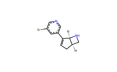 Brc1cncc(C2=CC[C@@H]3CN[C@H]23)c1